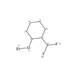 CCOC1CC[CH]CC1C(F)F